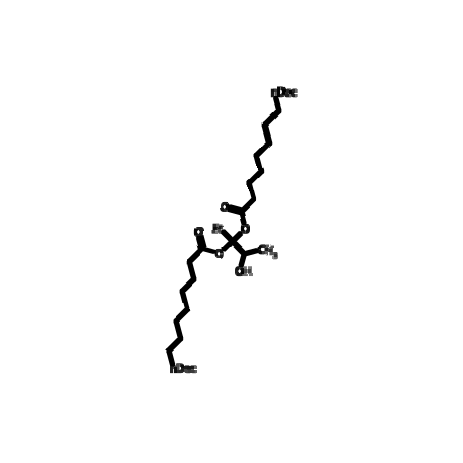 CCCCCCCCCCCCCCCCCC(=O)OC(CC)(OC(=O)CCCCCCCCCCCCCCCCC)C(C)O